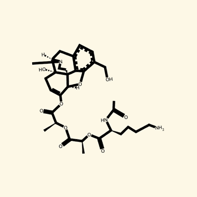 CC(=O)N[C@@H](CCCCN)C(=O)O[C@@H](C)C(=O)O[C@@H](C)C(=O)OC1=CC[C@@]2(O)[C@H]3Cc4ccc(CO)c5c4[C@@]2(CCN3C)[C@H]1O5